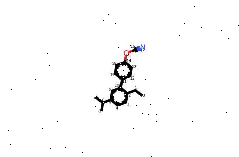 CCc1ccc(C(C)C)cc1-c1ccc(OC#N)cc1